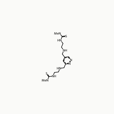 CNC(=S)NCCNCc1cnnc(CNCCNC(=S)NC)c1